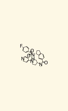 CN(C(=O)c1ccc2c(c1)[C@H](NS(=O)(=O)c1ccc(F)cc1)CC2)C1CCN(c2ccncc2)CC1